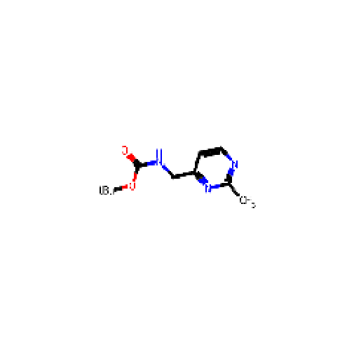 CC(C)(C)OC(=O)NCc1ccnc(C(F)(F)F)n1